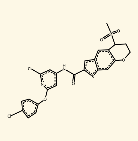 CS(=O)(=O)C1CCOc2cc3sc(C(=O)Nc4cc(Cl)nc(Oc5ccc(Cl)cc5)c4)cc3cc21